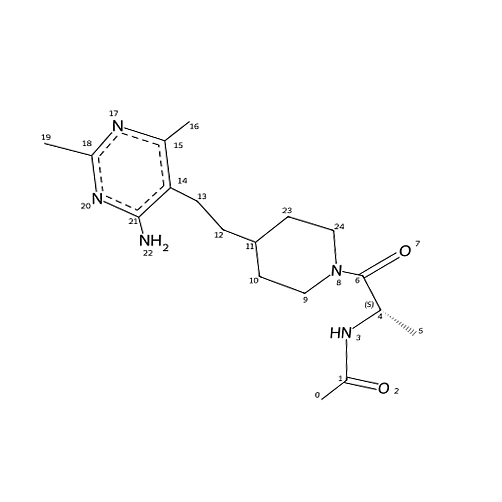 CC(=O)N[C@@H](C)C(=O)N1CCC(CCc2c(C)nc(C)nc2N)CC1